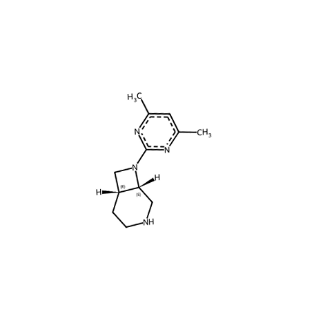 Cc1cc(C)nc(N2C[C@H]3CCNC[C@H]32)n1